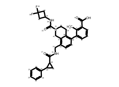 Cc1c(C(=O)O)cccc1-c1ccc(CNC(=O)C2CC2c2ccccc2)c2c1CCN(C(=O)NC1CC(F)(F)C1)C2